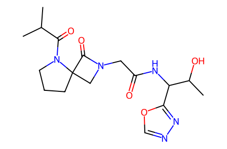 CC(C)C(=O)N1CCCC12CN(CC(=O)NC(c1nnco1)C(C)O)C2=O